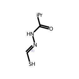 CC(C)C(=O)N/N=C/S